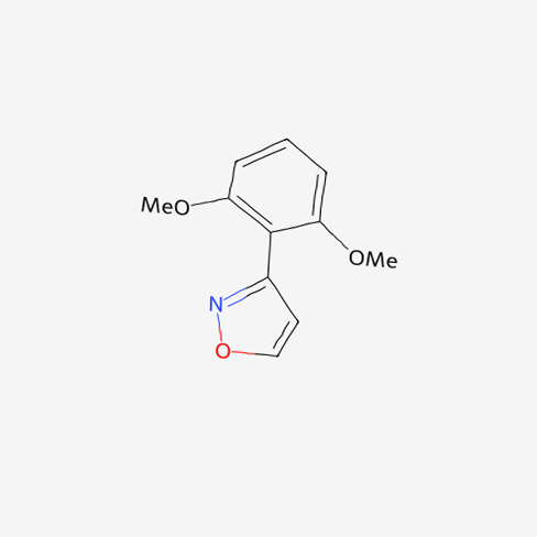 COc1cccc(OC)c1-c1ccon1